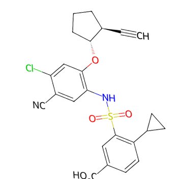 C#C[C@@H]1CCC[C@H]1Oc1cc(Cl)c(C#N)cc1NS(=O)(=O)c1cc(C(=O)O)ccc1C1CC1